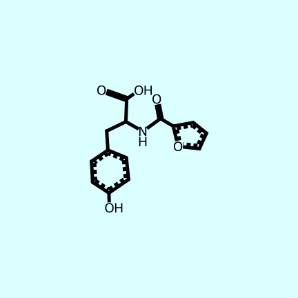 O=C(NC(Cc1ccc(O)cc1)C(=O)O)c1ccco1